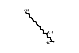 CC(O)CCC(O)CCCCCCCCCCCO